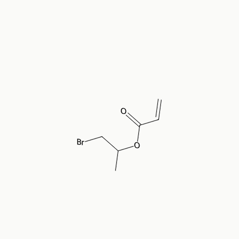 C=CC(=O)OC(C)CBr